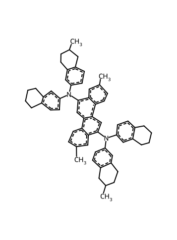 Cc1ccc2c(c1)c(N(c1ccc3c(c1)CCCC3)c1ccc3c(c1)CCC(C)C3)cc1c3ccc(C)cc3c(N(c3ccc4c(c3)CCCC4)c3ccc4c(c3)CCC(C)C4)cc21